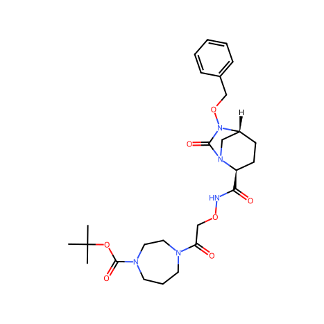 CC(C)(C)OC(=O)N1CCCN(C(=O)CONC(=O)[C@@H]2CC[C@@H]3CN2C(=O)N3OCc2ccccc2)CC1